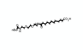 CCCCC(=O)NCCOCCOCCNC(=O)CCCCCCCCCCC(=O)O